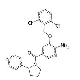 Nc1ncc(C(=O)N2CCCC2c2ccncc2)cc1OCc1c(Cl)cccc1Cl